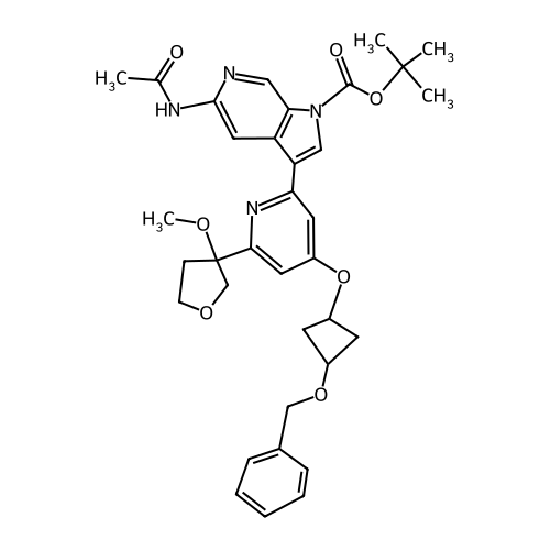 COC1(c2cc(OC3CC(OCc4ccccc4)C3)cc(-c3cn(C(=O)OC(C)(C)C)c4cnc(NC(C)=O)cc34)n2)CCOC1